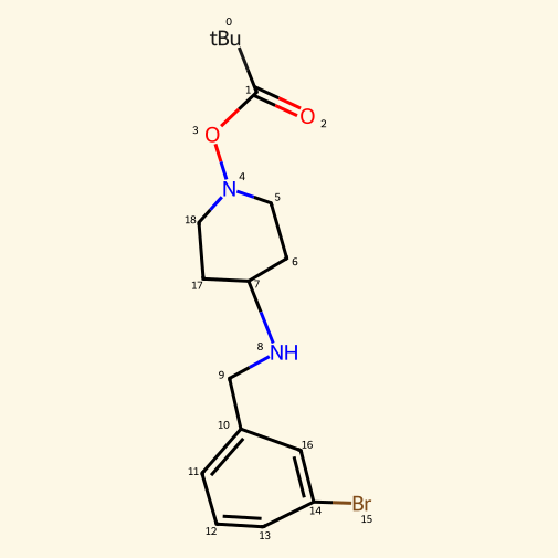 CC(C)(C)C(=O)ON1CCC(NCc2cccc(Br)c2)CC1